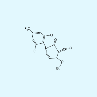 CCOC1C=CN(c2c(Cl)cc(C(F)(F)F)cc2Cl)C(=O)C1=C=O